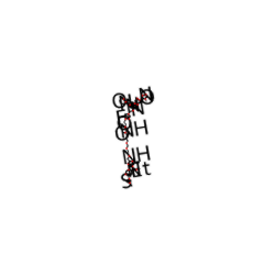 CCn1c2ccc(CNCCCCCCCCC(=O)NCCOc3ccc(CCc4nc5cc(-c6c(C)noc6C)ccc5n4CCN4CCOCC4)cc3F)cc2c2ccc(-c3cc(C)cs3)cc21